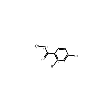 NNC(=O)c1ccc(Cl)cc1Br